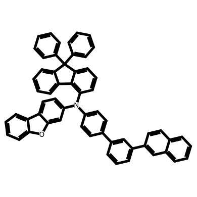 c1ccc(C2(c3ccccc3)c3ccccc3-c3c(N(c4ccc(-c5cccc(-c6ccc7ccccc7c6)c5)cc4)c4ccc5c(c4)oc4ccccc45)cccc32)cc1